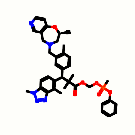 CC[C@@H]1CN(Cc2cc(C(c3ccc4c(nnn4C)c3C)C(C)(C)C(=O)OCOP(C)(=O)Oc3ccccc3)ccc2C)Cc2cnccc2O1